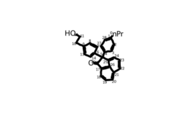 CCCc1ccc(C2(c3ccc(CCO)cc3)C(=O)c3cccc4cccc2c34)cc1